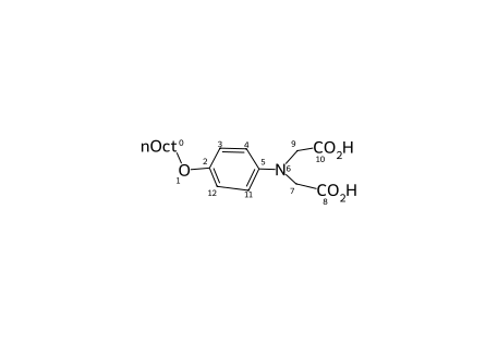 CCCCCCCCOc1ccc(N(CC(=O)O)CC(=O)O)cc1